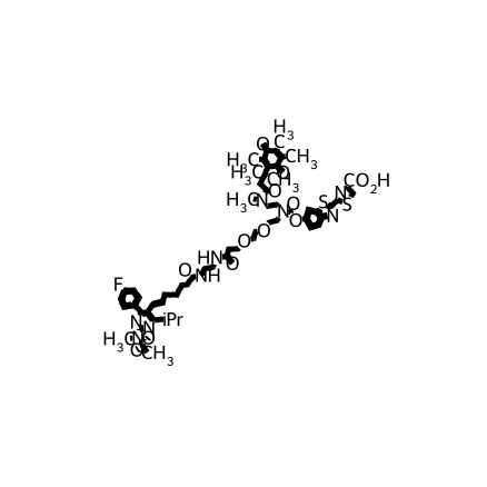 CC1=C(C)C(=O)C(C(C)(C)CC(=O)N(C)CCN(CCOCCOCCC(=O)NCCNC(=O)CCCC/C=C/c2c(-c3ccc(F)cc3)nc(N(C)S(C)(=O)=O)nc2C(C)C)C(=O)Oc2ccc3nc(C4=NC(C(=O)O)CS4)sc3c2)=C(C)C1=O